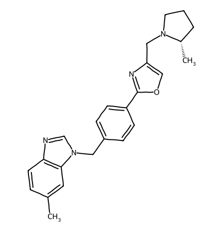 Cc1ccc2ncn(Cc3ccc(-c4nc(CN5CCC[C@@H]5C)co4)cc3)c2c1